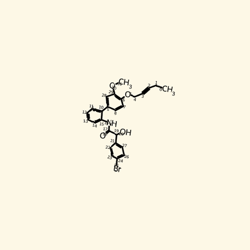 CCC#CCOc1ccc(-c2ccccc2NC(=O)C(O)c2ccc(Br)cc2)cc1OC